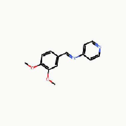 COc1ccc(C=Nc2ccncc2)cc1OC